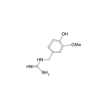 COc1cc(CNC(=N)N)ccc1O